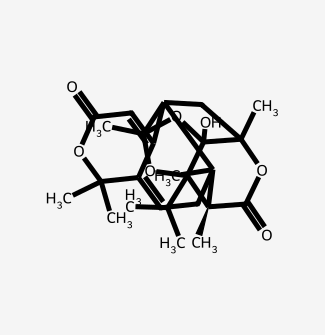 CC(C)C12OC3(C)OC1(O)C1(C)CC34C3=CC(=O)OC(C)(C)C3=CCC4(C)[C@]2(C)C(=O)O1